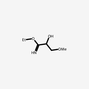 CCOC(=N)C(O)COC